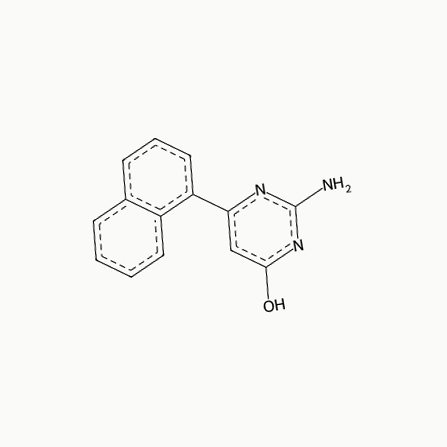 Nc1nc(O)cc(-c2cccc3ccccc23)n1